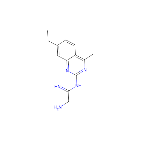 CCc1ccc2c(C)nc(NC(=N)CN)nc2c1